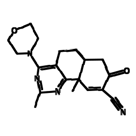 Cc1nc(N2CCOCC2)c2c(n1)C1(C)C=C(C#N)C(=O)CC1CC2